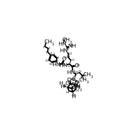 CCCCc1ccc(NC(=O)N[C@@H](CCCNC(=N)NC)C(=O)N[C@@H](CC(C)C)B2O[C@@H]3C[C@@H]4C[C@@H](C4(C)C)[C@]3(C)O2)cc1